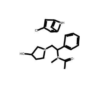 CC(=O)N(C)C(CN1CCC(O)C1)c1ccccc1.Clc1cc2cc(c1)N2